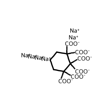 O=C([O-])C1(C(=O)[O-])CCCC(C(=O)[O-])(C(=O)[O-])C1(C(=O)[O-])C(=O)[O-].[Na+].[Na+].[Na+].[Na+].[Na+].[Na+]